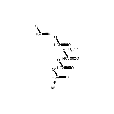 [Bi+3].[F].[OH4+2].[O]=[GeH][O-].[O]=[GeH][O-].[O]=[GeH][O-].[O]=[GeH][O-].[O]=[GeH][O-]